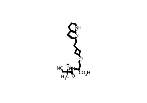 CC(C)(CC#N)C(=O)NC(CCOC1CC(CCc2ccc3c(n2)NCCC3)C1)C(=O)O